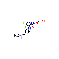 CNCCc1ccc(Nc2c(C(=O)NOCCO)ccc(F)c2F)c(F)c1